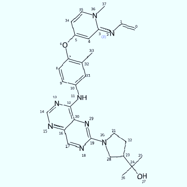 C=C/N=c1/cc(Oc2ccc(Nc3ncnc4cnc(N5CCC(C(C)(C)O)C5)nc34)cc2C)ccn1C